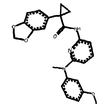 COc1cccc(N(C)c2cccc(NC(=O)C3(c4ccc5c(c4)OCO5)CC3)n2)c1